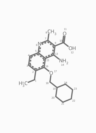 CCc1ccc2nc(C)c(C(=O)O)c(N)c2c1OCC1CCCCC1